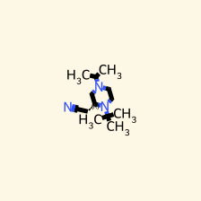 CC(C)N1CCN(C(C)(C)C)[C@H](CC#N)C1